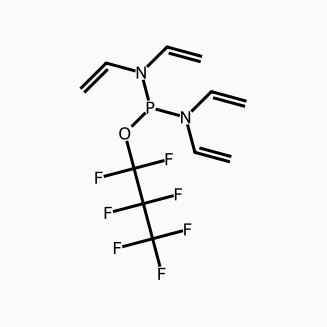 C=CN(C=C)P(OC(F)(F)C(F)(F)C(F)(F)F)N(C=C)C=C